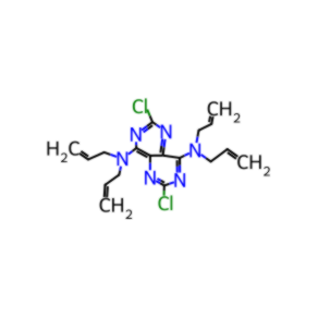 C=CCN(CC=C)c1nc(Cl)nc2c(N(CC=C)CC=C)nc(Cl)nc12